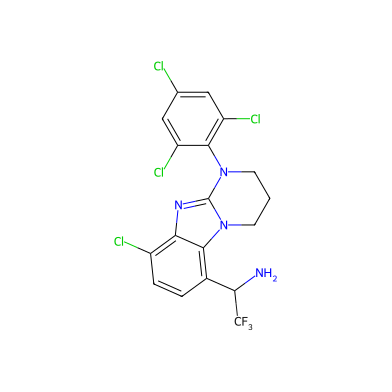 NC(c1ccc(Cl)c2nc3n(c12)CCCN3c1c(Cl)cc(Cl)cc1Cl)C(F)(F)F